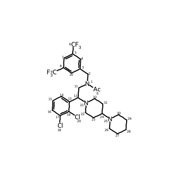 CC(=O)N(Cc1cc(C(F)(F)F)cc(C(F)(F)F)c1)CC(c1cccc(Cl)c1Cl)N1CCC(N2CCCCC2)CC1